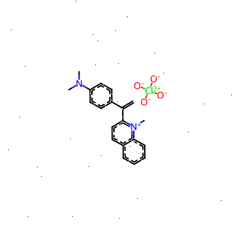 C=C(c1ccc(N(C)C)cc1)c1ccc2ccccc2[n+]1C.[O-][Cl+3]([O-])([O-])[O-]